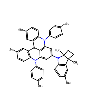 CC(C)(C)c1ccc(N2c3ccc(C(C)(C)C)cc3B3c4cc(C(C)(C)C)ccc4N(c4ccc(C(C)(C)C)cc4)c4cc(N5c6ccc(C(C)(C)C)cc6C6(C)CCC56C)cc2c43)cc1